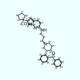 O=C(O)C1(c2cn3nc(NCCCN4CCC(OC(c5ccccc5)c5ccccc5)CC4)ccc3n2)CCCC1